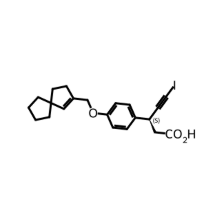 O=C(O)C[C@H](C#CI)c1ccc(OCC2=CC3(CCCC3)CC2)cc1